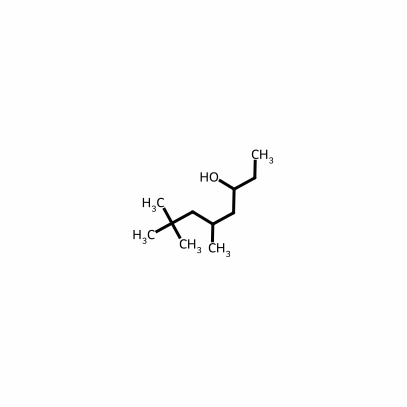 CCC(O)CC(C)CC(C)(C)C